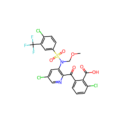 COCN(c1cc(Cl)cnc1C(=O)c1cccc(Cl)c1C(=O)O)S(=O)(=O)c1ccc(Cl)c(C(F)(F)F)c1